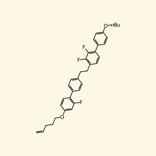 C=CCCCOc1ccc(-c2ccc(CCc3ccc(-c4ccc(OCCCC)cc4)c(F)c3F)cc2)c(F)c1